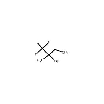 CCC(C)(O)C(F)(F)F